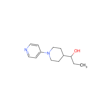 CCC(O)C1CCN(c2ccncc2)CC1